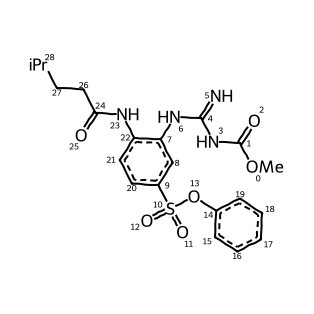 COC(=O)NC(=N)Nc1cc(S(=O)(=O)Oc2ccccc2)ccc1NC(=O)CCC(C)C